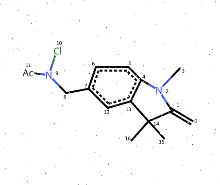 C=C1N(C)c2ccc(CN(Cl)C(C)=O)cc2C1(C)C